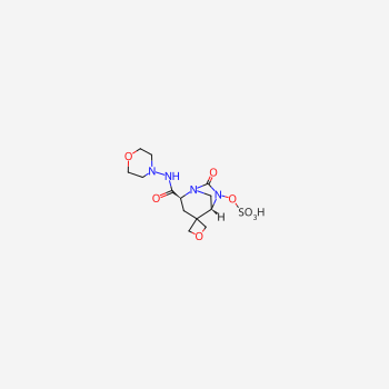 O=C(NN1CCOCC1)[C@@H]1CC2(COC2)[C@@H]2CN1C(=O)N2OS(=O)(=O)O